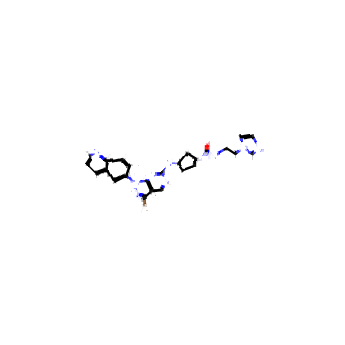 O=C(NCCn1ccnc1)[C@@H]1CC[C@@H](Nc2ncc3c(Br)nn(-c4ccc5ncccc5c4)c3n2)C1